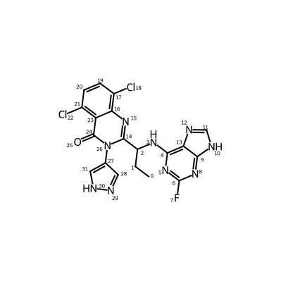 CCC(Nc1nc(F)nc2[nH]cnc12)c1nc2c(Cl)ccc(Cl)c2c(=O)n1-c1cn[nH]c1